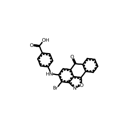 O=C(O)c1ccc(Nc2cc3c4c(onc4c2Br)-c2ccccc2C3=O)cc1